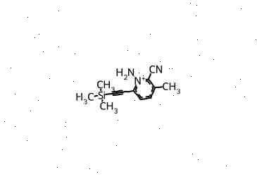 Cc1ccc(C#C[Si](C)(C)C)[n+](N)c1C#N